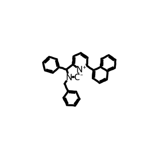 c1ccc(CN2[CH-][n+]3c(-c4cccc5ccccc45)cccc3C2c2ccccc2)cc1